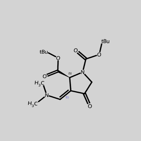 CN(C)/C=C1/C(=O)CN(C(=O)OC(C)(C)C)[C@@H]1C(=O)OC(C)(C)C